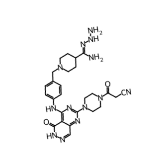 N#CCC(=O)N1CCN(c2nc(Nc3ccc(CN4CCC(/C(N)=N/NN)CC4)cc3)c3c(=O)[nH]ncc3n2)CC1